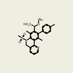 Cc1ccc(-c2c(C)c3c(c(C)c2[C@H](OC(C)(C)C)C(=O)O)N(S(C)(=O)=O)Cc2cccnc2-3)cc1